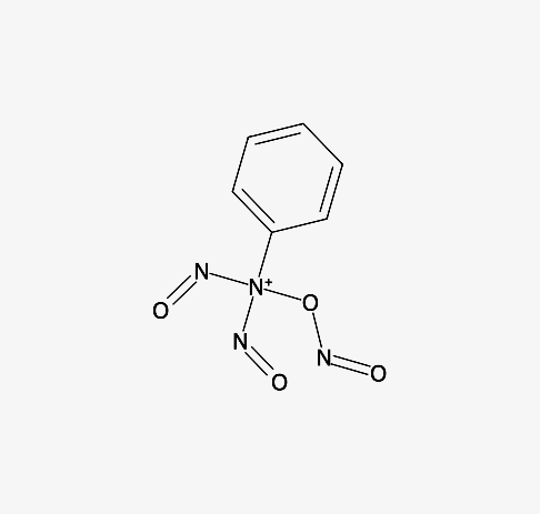 O=NO[N+](N=O)(N=O)c1ccccc1